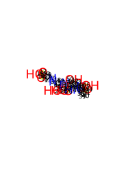 O=C(O)c1cc(/N=N/c2ccc(S(=O)(=O)O)cc2)ccc1/N=N/c1c(S(=O)(=O)O)cc2c(ccc3nc(-c4ccccc4S(=O)(=O)O)[nH]c32)c1O